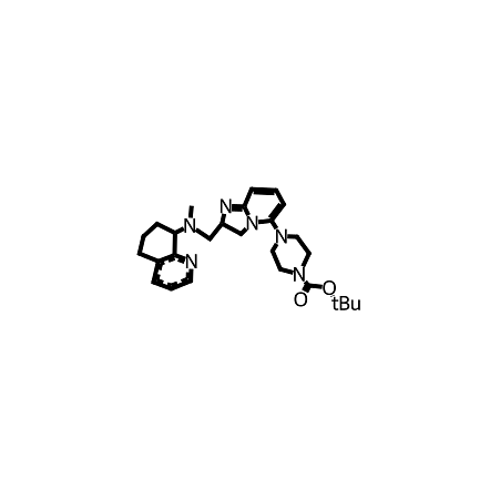 CN(CC1CN2C(N3CCN(C(=O)OC(C)(C)C)CC3)=CC=CC2=N1)C1CCCc2cccnc21